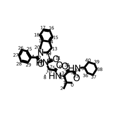 CC(C)[C@H](NC(=O)[C@H](C)NC(=O)[C@@H]1Cc2ccccc2CN1C(=O)c1ccccc1)C(=O)C(=O)NC1CCCCC1